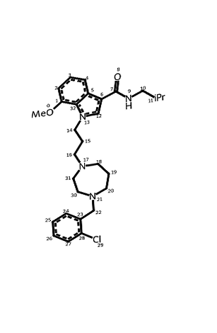 COc1cccc2c(C(=O)NCC(C)C)cn(CCCN3CCCN(Cc4ccccc4Cl)CC3)c12